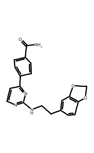 NC(=O)c1ccc(-c2ccnc(NCCc3ccc4c(c3)OCO4)n2)cc1